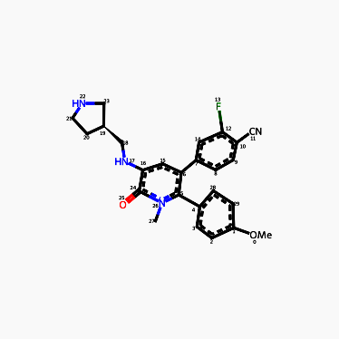 COc1ccc(-c2c(-c3ccc(C#N)c(F)c3)cc(NC[C@H]3CCNC3)c(=O)n2C)cc1